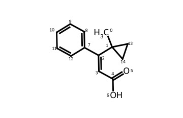 CC1(/C(=C\C(=O)O)c2ccccc2)CC1